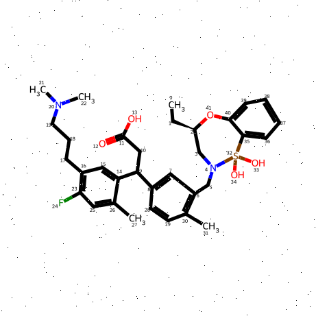 CC[C@@H]1CN(Cc2cc(C(CC(=O)O)c3cc(CCCN(C)C)c(F)cc3C)ccc2C)S(O)(O)c2ccccc2O1